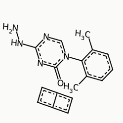 Cc1cccc(C)c1-n1cnc(NN)nc1=O.c1cc2ccc1-2